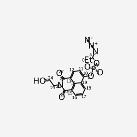 CCOP(=O)(OCN=[N+]=[N-])Oc1ccc2c3c(cccc13)C(=O)N(CCO)C2=O